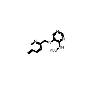 C=C/C=C\C(COc1cncnc1NCCCC)=N/C